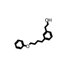 OCCc1cccc(CCCCOc2ccccc2)c1